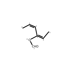 C/C=C\C(=C/C)OC=O